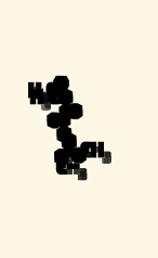 Cc1cccc(N(c2cccc(C)c2)c2ccc3cc(-c4cc5c6ccccc6c(-c6ccc7c(c6)C(C)(C)c6ccccc6-7)cc5c5ccccc45)ccc3c2)c1